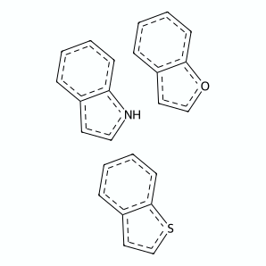 c1ccc2[nH]ccc2c1.c1ccc2occc2c1.c1ccc2sccc2c1